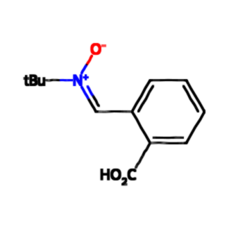 CC(C)(C)/[N+]([O-])=C/c1ccccc1C(=O)O